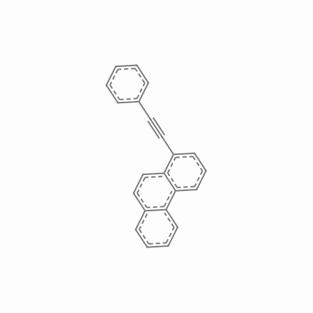 C(#Cc1cccc2c1ccc1ccccc12)c1ccccc1